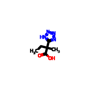 CCC(C)(C(=O)O)c1nnn[nH]1